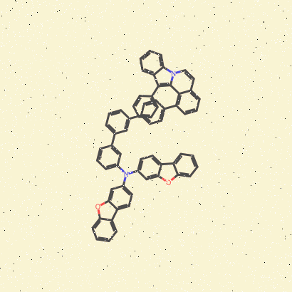 c1ccc(-c2c3ccccc3n3ccc4cccc(-c5ccc(-c6cccc(-c7cccc(N(c8ccc9c(c8)oc8ccccc89)c8ccc9c(c8)oc8ccccc89)c7)c6)cc5)c4c23)cc1